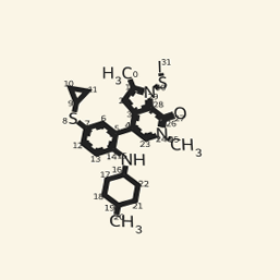 Cc1cc2c(-c3cc(SC4CC4)ccc3NC3CCC(C)CC3)cn(C)c(=O)c2n1SI